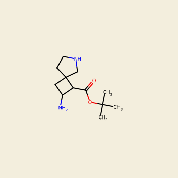 CC(C)(C)OC(=O)C1C(N)CC12CCNC2